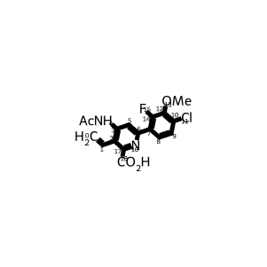 C=Cc1c(NC(C)=O)cc(-c2ccc(Cl)c(OC)c2F)nc1C(=O)O